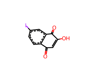 O=C1C=C(O)C(=O)c2cc(I)ccc21